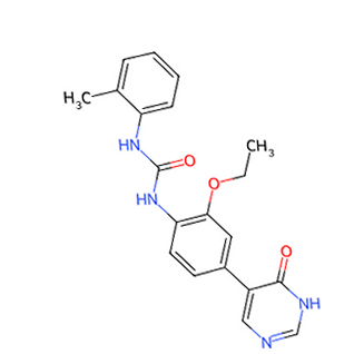 CCOc1cc(-c2cnc[nH]c2=O)ccc1NC(=O)Nc1ccccc1C